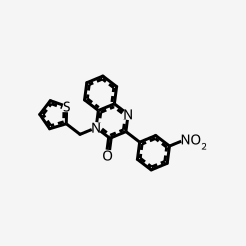 O=c1c(-c2cccc([N+](=O)[O-])c2)nc2ccccc2n1Cc1cccs1